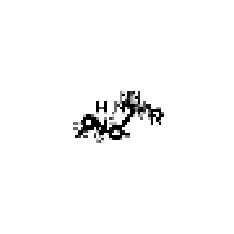 Cc1ccc(C(=O)Nc2cccc(C(C)(F)F)c2)cc1C#Cc1nn(CC2CCN(C)C2)c2ncnc(N)c12